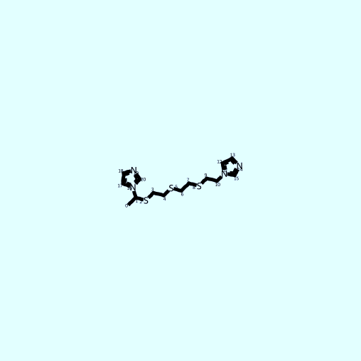 CC(SCCSCCSCCn1ccnc1)n1ccnc1